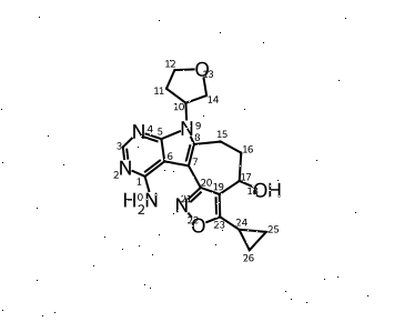 Nc1ncnc2c1c1c(n2C2CCOC2)CCC(O)c2c-1noc2C1CC1